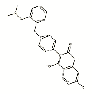 CN(C)Cc1ccccc1Cc1ccc(-c2c(O)c3ccc(Cl)cc3[nH]c2=O)cc1